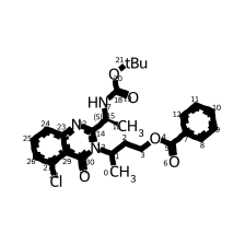 CC(CCOC(=O)c1ccccc1)n1c([C@H](C)NC(=O)OC(C)(C)C)nc2cccc(Cl)c2c1=O